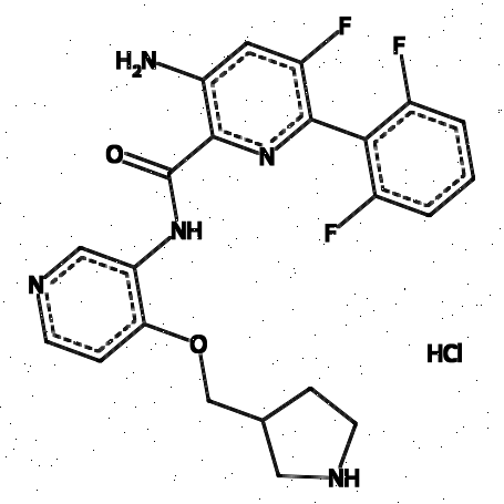 Cl.Nc1cc(F)c(-c2c(F)cccc2F)nc1C(=O)Nc1cnccc1OCC1CCNC1